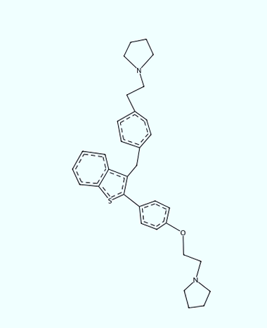 c1ccc2c(Cc3ccc(CCN4CCCC4)cc3)c(-c3ccc(OCCN4CCCC4)cc3)sc2c1